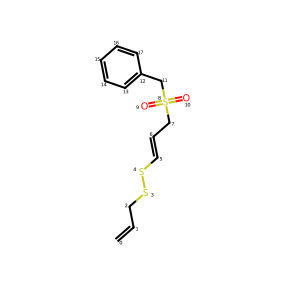 C=CCSSC=CCS(=O)(=O)Cc1ccccc1